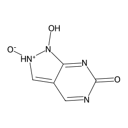 O=C1N=CC2=C[NH+]([O-])N(O)C2=N1